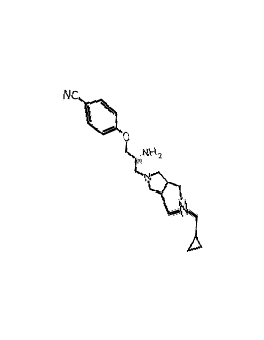 N#Cc1ccc(OC[C@H](N)CN2CC3CN(CC4CC4)CC3C2)cc1